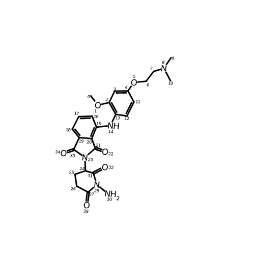 COc1cc(OCCN(C)C)ccc1Nc1cccc2c1C(=O)N(C1CCC(=O)N(N)C1=O)C2=O